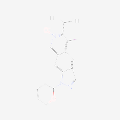 CC(C)c1c(I)c2cc3cnn(C4CCCCO4)c3cc2c[n+]1[O-]